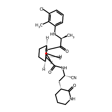 Cc1c(Cl)cccc1N[C@@H](C)C(=O)N1[C@@H]2CC[C@H]([C@@H]1C(=O)N[C@H](C#N)C[C@H]1CCCNC1=O)C(F)(F)C2